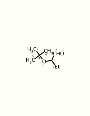 CCC(C=O)OC(C)(C)C